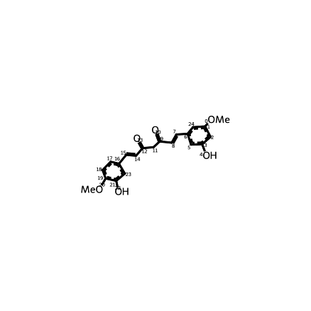 COc1cc(O)cc(/C=C/C(=O)CC(=O)/C=C/c2ccc(OC)c(O)c2)c1